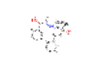 CC(N)C(O)c1ccccc1.CCC[C@@](O)(CCc1ccccc1)CC(=O)O